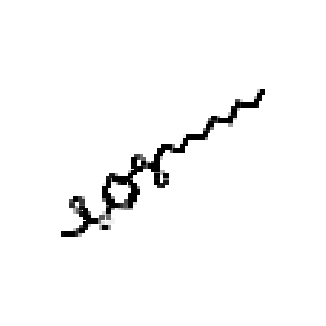 CCCCCCCCCC(=O)Oc1ccc(OC(=O)CC)cc1